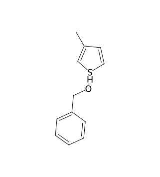 CC1=C[SH](OCc2ccccc2)C=C1